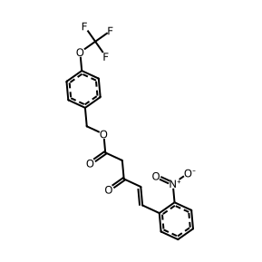 O=C(C=Cc1ccccc1[N+](=O)[O-])CC(=O)OCc1ccc(OC(F)(F)F)cc1